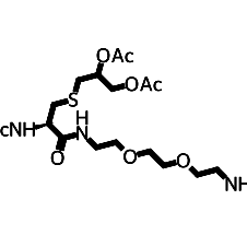 CC(=O)N[C@@H](CSCC(COC(C)=O)OC(C)=O)C(=O)NCCOCCOCCN